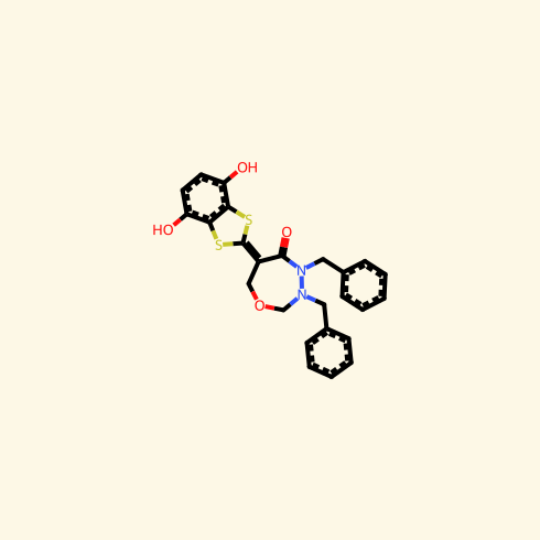 O=C1C(=C2Sc3c(O)ccc(O)c3S2)COCN(Cc2ccccc2)N1Cc1ccccc1